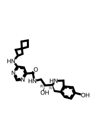 O=C(NC[C@@H](O)[C@@H]1Cc2ccc(O)cc2CN1)c1cc(NC2CC3(CCC3)C2)ncn1